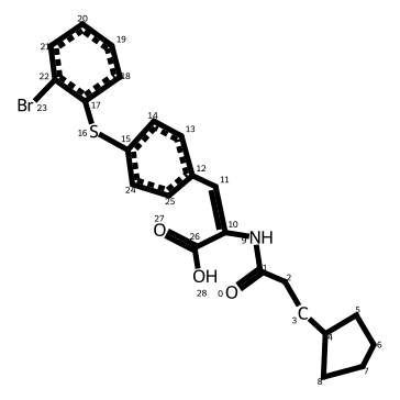 O=C(CCC1CCCC1)N/C(=C/c1ccc(Sc2ccccc2Br)cc1)C(=O)O